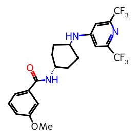 COc1cccc(C(=O)N[C@H]2CC[C@@H](Nc3cc(C(F)(F)F)nc(C(F)(F)F)c3)CC2)c1